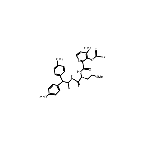 COc1ccc(C(c2ccc(OC)cc2)[C@H](C)NC(=O)[C@H](CCSC)NC(=O)c2nccc(OC)c2OC(=O)C(C)C)cc1